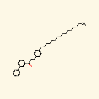 CCCCCCCCCCCCCCCCc1ccc(C=CC(=O)c2cccc(-c3ccccc3)c2)cc1